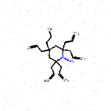 C=CCC1(CCC#N)CC(CC=C)(CC=C)N(N)C(CC=C)(CC=C)C1